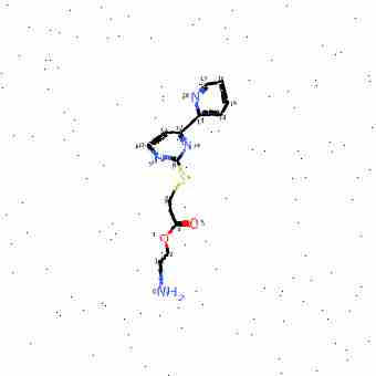 NCCOC(=O)CSc1nccc(-c2ccccn2)n1